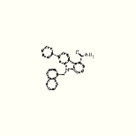 NC(=O)c1cccc2c1c1[c]cc(-c3ccccc3)cc1n2Cc1cccc2ccccc12